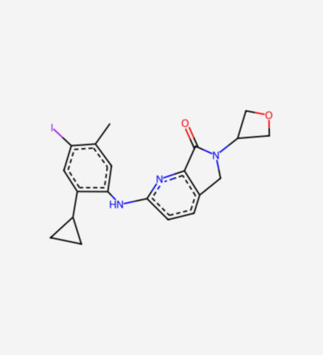 Cc1cc(Nc2ccc3c(n2)C(=O)N(C2COC2)C3)c(C2CC2)cc1I